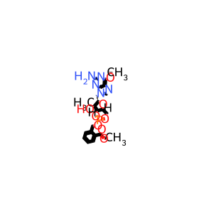 COC(=O)c1ccccc1COP1OC[C@H]2O[C@@H](Cn3cnc4c(OC)nc(N)nc43)[C@](C)(O)[C@@H]2O1